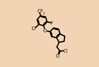 O=C(Cl)CC1CCc2ccc(Oc3c(F)cc(C(F)(F)F)cc3Cl)cc21